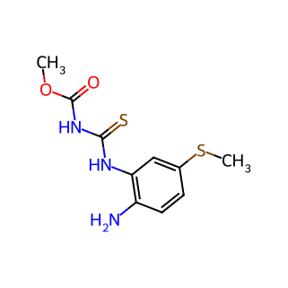 COC(=O)NC(=S)Nc1cc(SC)ccc1N